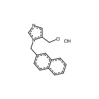 Cl.ClCc1cncn1Cc1ccc2ccccc2c1